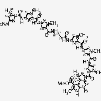 COC(=O)c1c(C)[nH]c2c1[C@]1(C)C(=CC2=O)N(C(=O)c2cc(NC(=O)c3cc(NC(=O)c4nc(NC(=O)CCCNC(=O)c5cc(NC(=O)c6cc(NC(=O)c7nc(NC(C)=O)cn7C)cn6C)cn5C)cn4C)cn3C)cn2C)CC1C